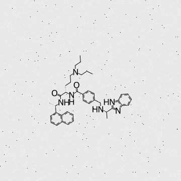 CCCN(CCC)CCC[C@H](NC(=O)c1ccc(CNC(C)c2nc3ccccc3[nH]2)cc1)C(=O)N[C@@H](C)c1cccc2ccccc12